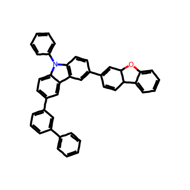 C1=CC2c3ccccc3OC2C=C1c1ccc2c(c1)c1cc(-c3cccc(-c4ccccc4)c3)ccc1n2-c1ccccc1